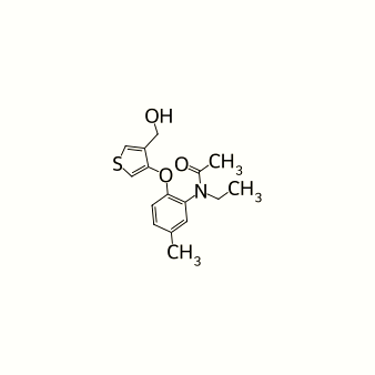 CCN(C(C)=O)c1cc(C)ccc1Oc1cscc1CO